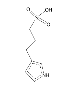 O=S(=O)(O)CCCc1cc[nH]c1